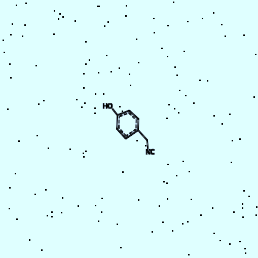 [C-]#[N+]Cc1ccc(O)cc1